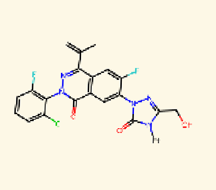 C=C(C)c1nn(-c2c(F)cccc2Cl)c(=O)c2cc(-n3nc(CO)n(CC)c3=O)c(F)cc12